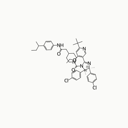 CCOc1cc(C(C)(C)C)ncc1C1=N[C@@](C)(c2ccc(Cl)cc2)[C@@](C)(c2ccc(Cl)cc2)N1C(=O)N1CCC(CC(=O)Nc2ccc(C(C)CC)cc2)CC1